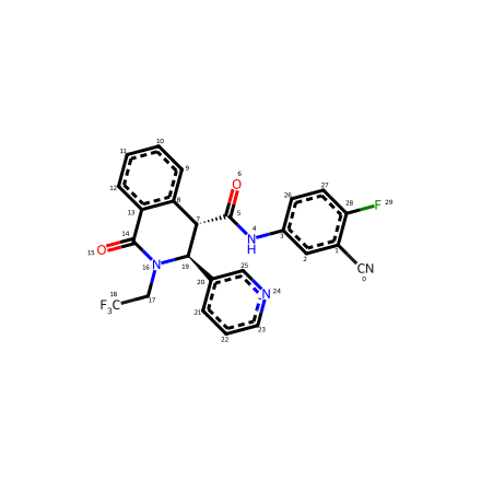 N#Cc1cc(NC(=O)[C@H]2c3ccccc3C(=O)N(CC(F)(F)F)[C@@H]2c2cccnc2)ccc1F